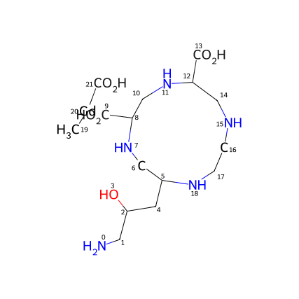 NCC(O)CC1CNC(C(=O)O)CNC(C(=O)O)CNCCN1.[CH3][Gd][C](=O)O